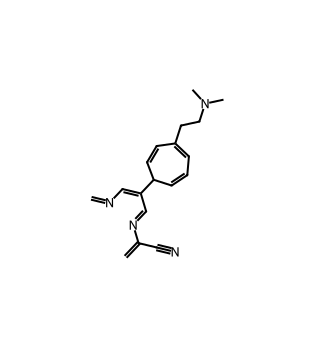 C=N/C=C(\C=N\C(=C)C#N)C1C=CC=C(CCN(C)C)C=C1